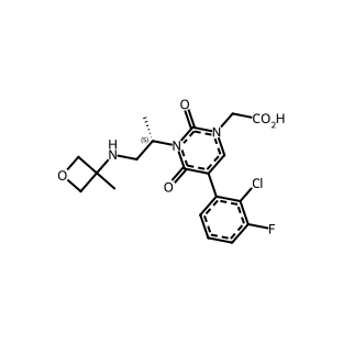 C[C@@H](CNC1(C)COC1)n1c(=O)c(-c2cccc(F)c2Cl)cn(CC(=O)O)c1=O